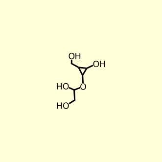 OCC(O)OC1C(O)C1CO